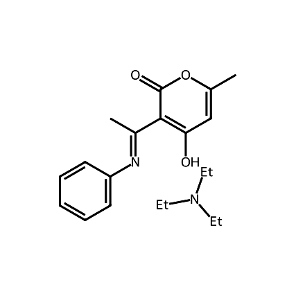 CC(=Nc1ccccc1)c1c(O)cc(C)oc1=O.CCN(CC)CC